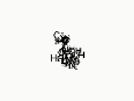 CN1CC2(C)CC(O)C3=C(C(=O)NCc4cccc(Cl)c4F)C(O)C(O)=C(C1=O)N32